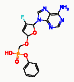 Nc1ncnc2c1ncn2C1OC(OCP(=O)(O)Oc2ccccc2)C=C1F